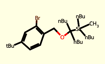 CCCCC(CCCC)(OCc1ccc(C(C)(C)C)cc1Br)[Si](C)(CCCC)CCCC